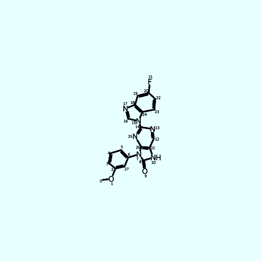 COc1cccc(-n2c(=O)[nH]c3cnc(-n4cnc5cc(F)ccc54)nc32)c1